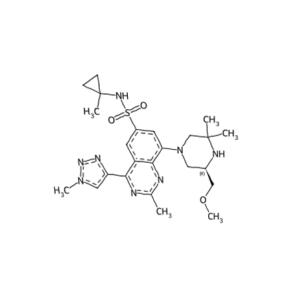 COC[C@H]1CN(c2cc(S(=O)(=O)NC3(C)CC3)cc3c(-c4cn(C)nn4)nc(C)nc23)CC(C)(C)N1